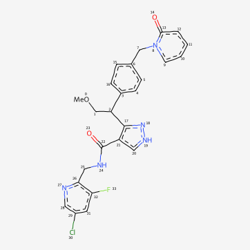 COCC(c1ccc(Cn2ccccc2=O)cc1)c1n[nH]cc1C(=O)NCc1ncc(Cl)cc1F